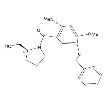 CNc1cc(OC)c(OCc2ccccc2)cc1C(=O)N1CCC[C@H]1CO